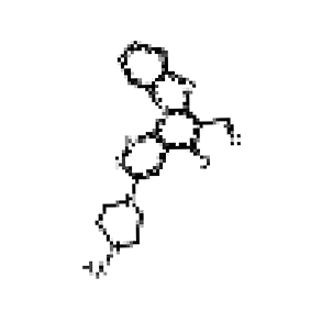 CN1CCN(c2cc3c(=O)c(C=O)c4sc5ccccc5n4c3nn2)CC1